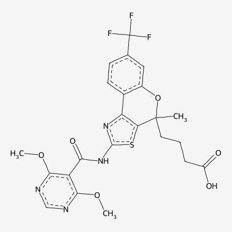 COc1ncnc(OC)c1C(=O)Nc1nc2c(s1)C(C)(CCCC(=O)O)Oc1cc(C(F)(F)F)ccc1-2